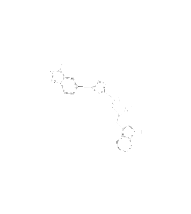 Cc1n[nH]c2ccc(-c3cnc(NC[C@H](N)Cc4c[nH]c5ccccc45)s3)cc12